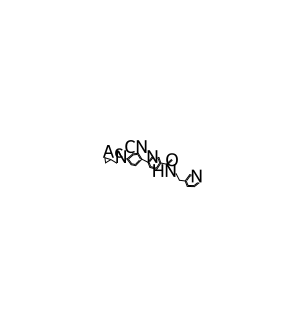 CC(=O)N(CC1CC1)c1ccc(-c2ccc(C(=O)NCCc3cccnc3)cn2)cc1C#N